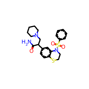 NC(=O)C(CN1CCCCC1)c1ccc2c(c1)N(S(=O)(=O)c1ccccc1)CCS2